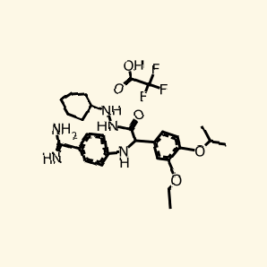 CCOc1cc(C(Nc2ccc(C(=N)N)cc2)C(=O)NNC2CCCCC2)ccc1OC(C)C.O=C(O)C(F)(F)F